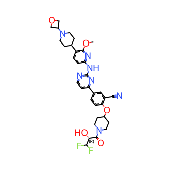 COc1nc(Nc2nccc(-c3ccc(OC4CCN(C(=O)[C@@H](O)C(F)F)CC4)c(C#N)c3)n2)ccc1C1CCN(C2COC2)CC1